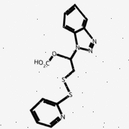 O=C(O)OC(CSSc1ccccn1)n1nnc2ccccc21